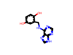 Oc1ccc(O)c(CNc2ncnc3[nH]cnc23)c1